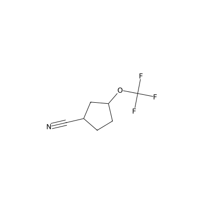 N#CC1CCC(OC(F)(F)F)C1